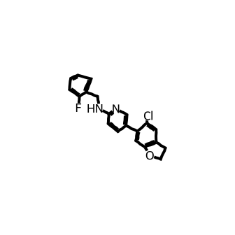 Fc1ccccc1CNc1ccc(-c2cc3c(cc2Cl)CCO3)cn1